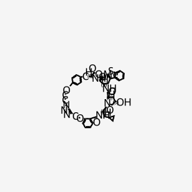 COC(=O)[C@@H]1Cc2ccc(cc2)OCCn2cc(nn2)COc2ccccc2C(=O)N[C@H](CC2CC2)C(=O)N2C[C@@H](O)C[C@@H]2C(=O)N[C@@H](Cc2csc3ccccc23)C(=O)N1